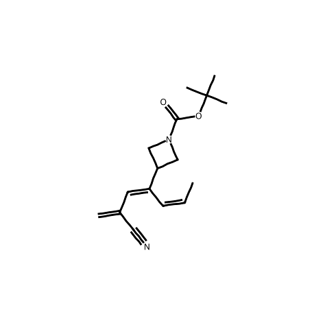 C=C(C#N)/C=C(\C=C/C)C1CN(C(=O)OC(C)(C)C)C1